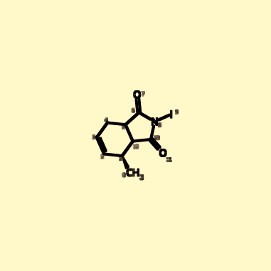 C[C@H]1C=CCC2C(=O)N(I)C(=O)C21